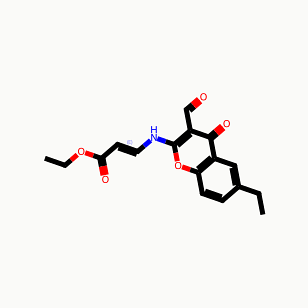 CCOC(=O)/C=C/Nc1oc2ccc(CC)cc2c(=O)c1C=O